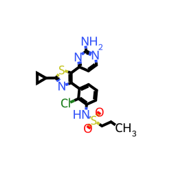 CCCS(=O)(=O)Nc1cccc(-c2nc(C3CC3)sc2-c2ccnc(N)n2)c1Cl